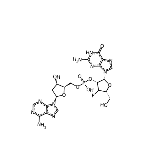 Nc1nc2c(ncn2[C@@H]2O[C@H](CO)C(F)[C@@H]2OP(=O)(O)OC[C@H]2O[C@@H](n3cnc4c(N)ncnc43)C[C@H]2O)c(=O)[nH]1